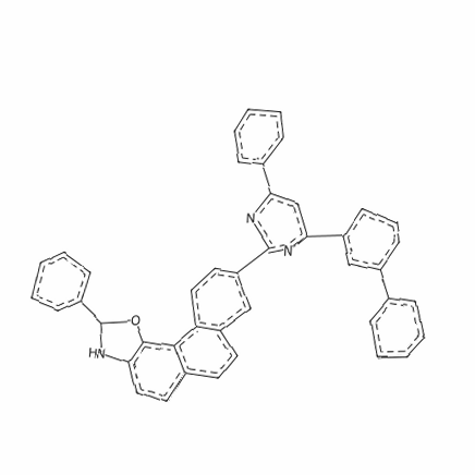 c1ccc(-c2cccc(-c3cc(-c4ccccc4)nc(-c4ccc5c(ccc6ccc7c(c65)OC(c5ccccc5)N7)c4)n3)c2)cc1